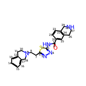 O=C(Nc1nnc(CCN2CCc3ccccc3C2)s1)c1ccc2c(c1)CCNC2